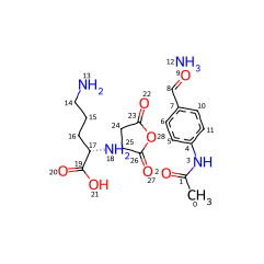 CC(=O)Nc1ccc(C=O)cc1.N.NCCC[C@H](N)C(=O)O.O=C1CCC(=O)O1